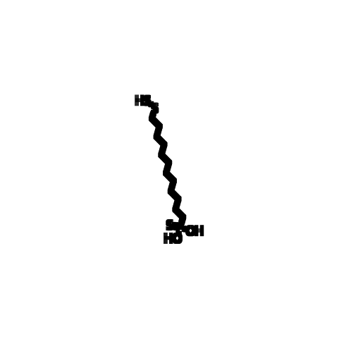 OP(O)(=S)CCCCCCCCCCCCSS